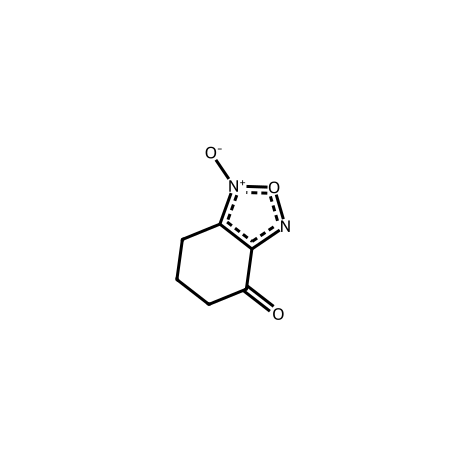 O=C1CCCc2c1no[n+]2[O-]